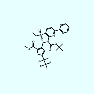 CCS(=O)(=O)c1ccc(-c2ncccn2)nc1N(Cc1cc(C(F)(F)C(F)(F)F)sc1C(=O)OC)C(=O)OC(C)(C)C